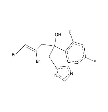 OC(CC(Br)=CBr)(Cn1cncn1)c1ccc(F)cc1F